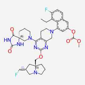 CCc1c(F)ccc2cc(OC(=O)OC)cc(N3CCc4c(nc(OC[C@@]56CCCN5C/C(=C\F)C6)nc4N4CCC[C@]5(C4)NC(=O)NC5=O)C3)c12